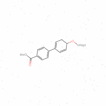 CCCCCCCOC1C=CC(c2ccc(C(=O)OC)cc2)=CC1